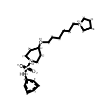 O=S(=O)(Nc1ccccc1)N1CCC(OCCCCCCN2CCCC2)CC1